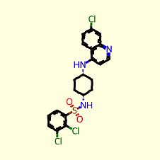 O=S(=O)(N[C@H]1CC[C@@H](Nc2ccnc3cc(Cl)ccc23)CC1)c1cccc(Cl)c1Cl